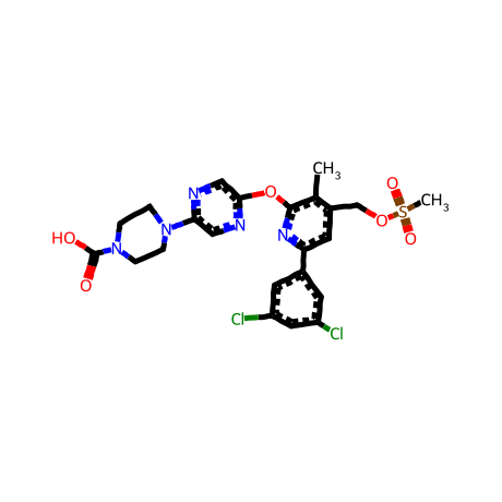 Cc1c(COS(C)(=O)=O)cc(-c2cc(Cl)cc(Cl)c2)nc1Oc1cnc(N2CCN(C(=O)O)CC2)cn1